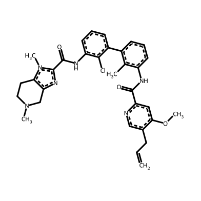 C=CCc1cnc(C(=O)Nc2cccc(-c3cccc(NC(=O)c4nc5c(n4C)CCN(C)C5)c3Cl)c2C)cc1OC